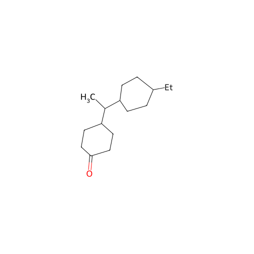 CCC1CCC(C(C)C2CCC(=O)CC2)CC1